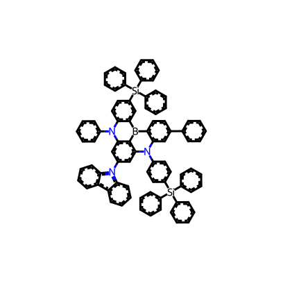 c1ccc(-c2ccc3c(c2)N(c2ccc([Si](c4ccccc4)(c4ccccc4)c4ccccc4)cc2)c2cc(-n4c5ccccc5c5ccccc54)cc4c2B3c2cc([Si](c3ccccc3)(c3ccccc3)c3ccccc3)ccc2N4c2ccccc2)cc1